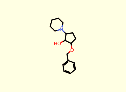 OC1C(OCc2ccccc2)CCC1N1CCCCC1